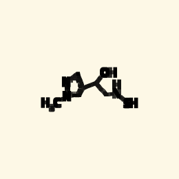 Cn1cc(C(O)CNS)cn1